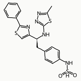 Cc1nnc(N[C@@H](Cc2ccc(N[SH](=O)=O)cc2)c2csc(-c3ccccc3)n2)s1